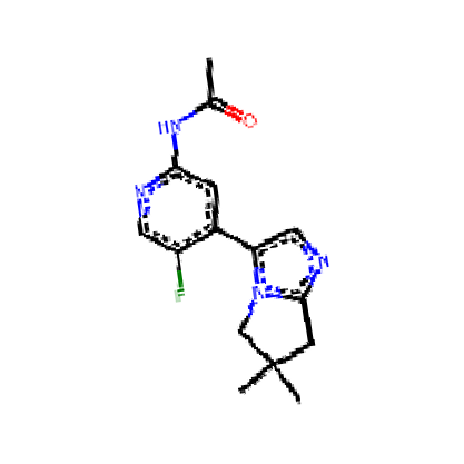 CC(=O)Nc1cc(-c2cnc3n2CC(C)(C)C3)c(F)cn1